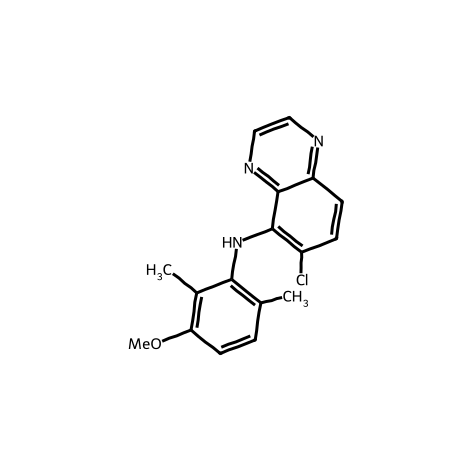 COc1ccc(C)c(Nc2c(Cl)ccc3nccnc23)c1C